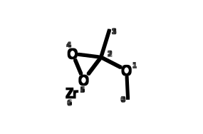 COC1(C)OO1.[Zr]